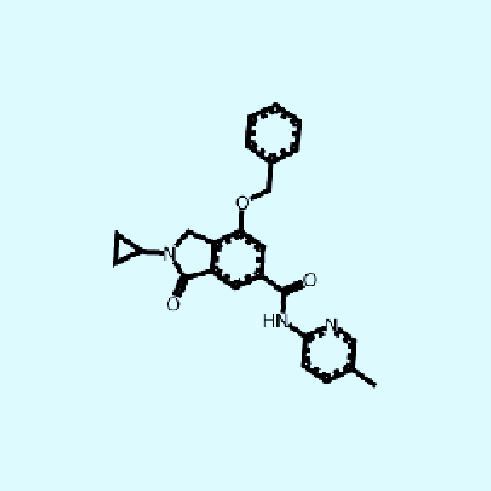 Cc1ccc(NC(=O)c2cc(OCc3ccccc3)c3c(c2)C(=O)N(C2CC2)C3)nc1